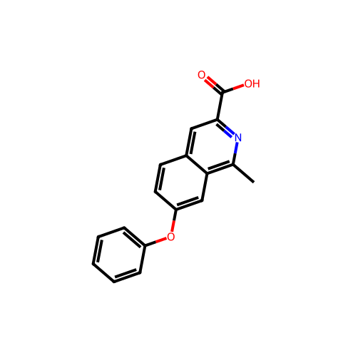 Cc1nc(C(=O)O)cc2ccc(Oc3ccccc3)cc12